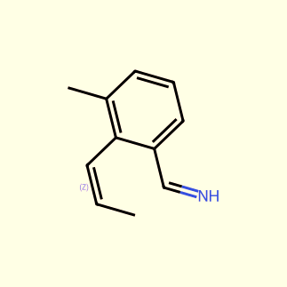 C/C=C\c1c(C)cccc1C=N